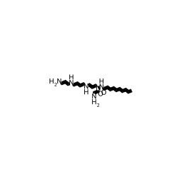 CCCCCCCCCC(=O)NN(CCCNCCCCNCCCN)C(=O)CN